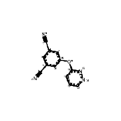 N#Cc1cc(C#N)cc(Oc2cc[c]nn2)c1